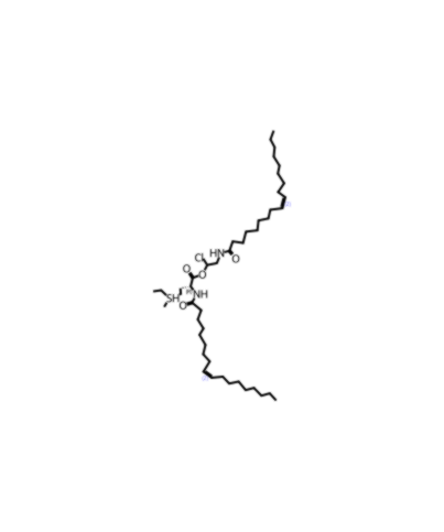 CCCCCCCC/C=C\CCCCCCCC(=O)NCC(Cl)OC(=O)[C@@H](CC[SH](C)CC)NC(=O)CCCCCCC/C=C\CCCCCCCC